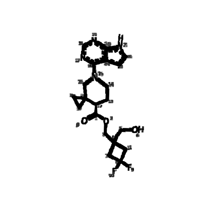 O=C(OCC1(CO)CC(F)(F)C1)[C@@H]1CCN(c2ncnc3[nH]ccc23)CC12CC2